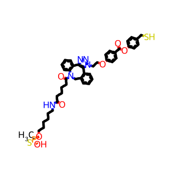 CP(O)(=S)OCCCCCCNC(=O)CCCCC(=O)N1Cc2ccccc2-c2c(nnn2CCOc2ccc(C(=O)Oc3ccc(CS)cc3)cc2)-c2ccccc21